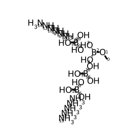 COB(O)O.N.N.N.N.N.N.N.N.N.N.N.OB(O)O.OB(O)O.OB(O)O